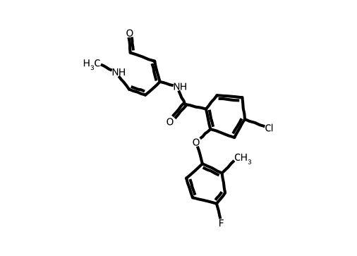 CN/C=C\C(=C/C=O)NC(=O)c1ccc(Cl)cc1Oc1ccc(F)cc1C